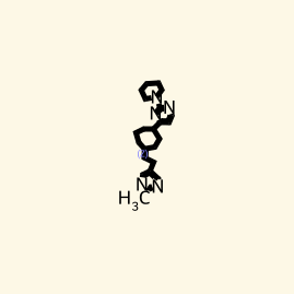 Cc1ncc(C/C=C2/CCCC(c3ccnc(N4CCCCC4)n3)CC2)cn1